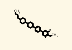 CCCCC1CCC(C2CCC(c3ccc(-c4cc(F)c(CC)c(F)c4)cc3)CC2)CC1